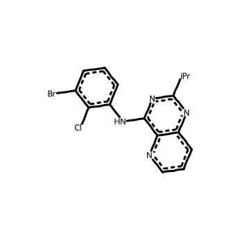 CC(C)c1nc(Nc2cccc(Br)c2Cl)c2ncccc2n1